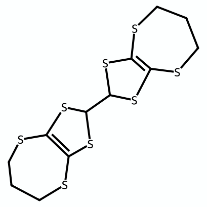 C1CSC2=C(SC1)SC(C1SC3=C(SCCCS3)S1)S2